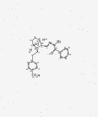 CCN(N=C[C@H]1[C@@H](CCc2ccc(C(=O)O)cc2)[C@H]2CC[C@@H]1O2)C(=O)c1ccccc1